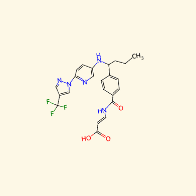 CCCC(Nc1ccc(-n2cc(C(F)(F)F)cn2)nc1)c1ccc(C(=O)NC=CC(=O)O)cc1